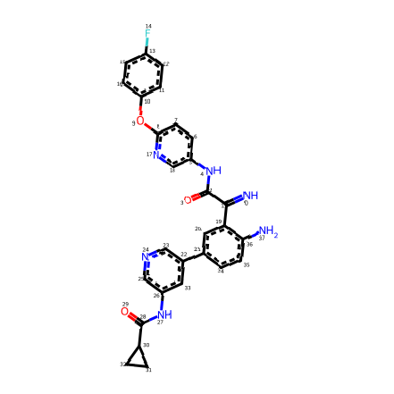 N=C(C(=O)Nc1ccc(Oc2ccc(F)cc2)nc1)c1cc(-c2cncc(NC(=O)C3CC3)c2)ccc1N